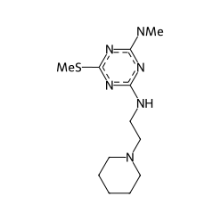 CNc1nc(NCCN2CCCCC2)nc(SC)n1